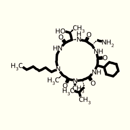 CCCCCCN1CCNC(=O)[C@H]([C@H](C)O)NC(=O)[C@H](CN)NC(=O)C(C2CCCCC2)NC(=O)[C@H](CC(C)C)N(C)C(=O)[C@@H]1C